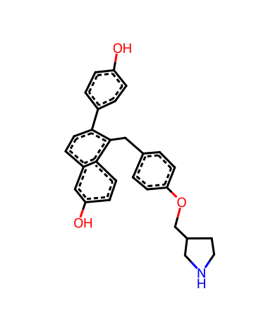 Oc1ccc(-c2ccc3cc(O)ccc3c2Cc2ccc(OCC3CCNC3)cc2)cc1